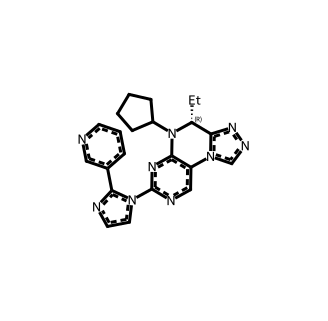 CC[C@@H]1c2nncn2-c2cnc(-n3ccnc3-c3cccnc3)nc2N1C1CCCC1